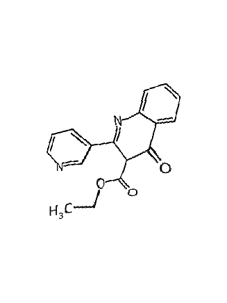 CCOC(=O)C1C(=O)c2ccccc2N=C1c1cccnc1